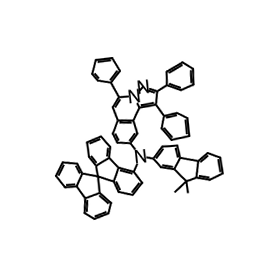 CC1(C)c2ccccc2-c2ccc(N(c3ccc4cc(-c5ccccc5)n5nc(-c6ccccc6)c(-c6ccccc6)c5c4c3)c3cccc4c3-c3ccccc3C43c4ccccc4-c4ccccc43)cc21